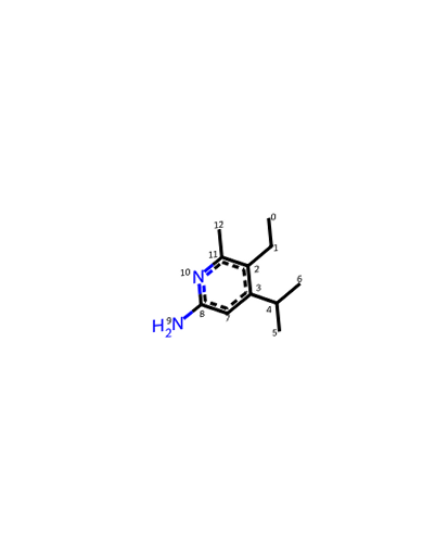 CCc1c(C(C)C)cc(N)nc1C